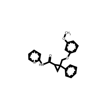 COc1cccc(OCC2(c3ccccc3)CC2C(=O)Nc2ccccn2)c1